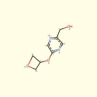 OCc1cnc(OC2COC2)cn1